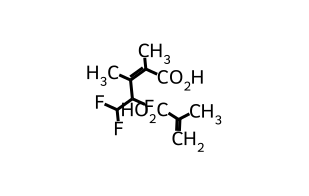 C=C(C)C(=O)O.CC(C(=O)O)=C(C)C(F)C(F)F